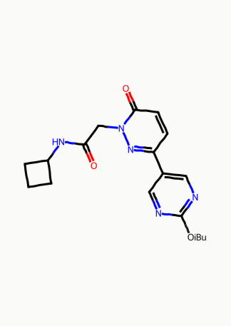 CC(C)COc1ncc(-c2ccc(=O)n(CC(=O)NC3CCC3)n2)cn1